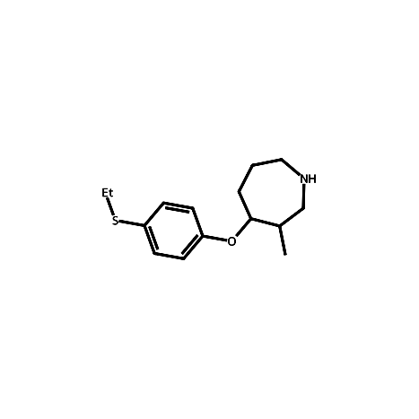 CCSc1ccc(OC2CCCNCC2C)cc1